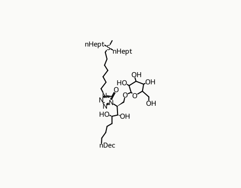 CCCCCCCCCCCCCC[C@@H](O)[C@@H](O)[C@H](COC1OC(CO)C(O)C(O)C1O)n1nnn(CCCCCCCS(C)(CCCCCCC)CCCCCCC)c1=O